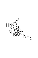 CCCC1CC(=O)C2=C(C1)NC(C)=C(C#N)C2c1cc(Br)c(OCCCN)c(OCC)c1